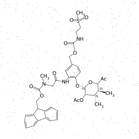 CC(=O)OC1[C@H](Oc2ccc(COC(=O)NCCS(C)(=O)=O)cc2NC(=O)CN(C)C(=O)OCC2c3ccccc3-c3ccccc32)OC(C(C)=O)[C@@H](C)[C@@H]1C